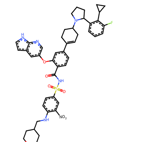 O=C(NS(=O)(=O)c1ccc(NCC2CCOCC2)c([N+](=O)[O-])c1)c1ccc(C2=CCC(N3CCCC3c3cccc(F)c3C3CC3)CC2)cc1Oc1cnc2[nH]ccc2c1